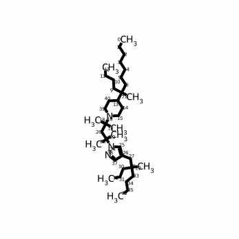 CCCCCCCC(C)(CCCC)C1CCN(C(C)(C)CC(C)(C)n2cc(CC(C)(CCC)CCCC)cn2)CC1